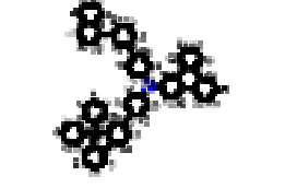 c1ccc(C2(c3ccccc3)c3ccccc3-c3ccc(-c4ccc(N(c5ccc(-c6cccc(-c7cccc8ccccc78)c6)cc5)c5ccc6c7ccccc7c7ccccc7c6c5)cc4)cc32)cc1